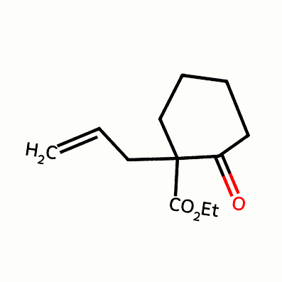 C=CCC1(C(=O)OCC)CCCCC1=O